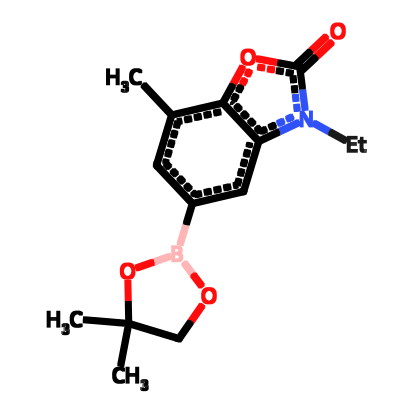 CCn1c(=O)oc2c(C)cc(B3OCC(C)(C)O3)cc21